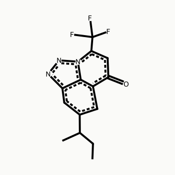 CCC(C)c1cc2nnn3c(C(F)(F)F)cc(=O)c(c1)c23